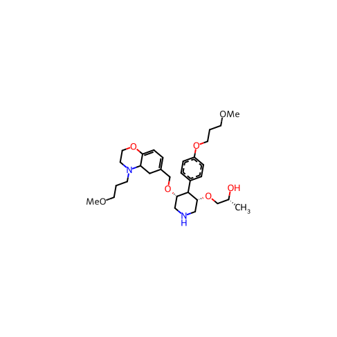 COCCCOc1ccc(C2[C@@H](OCC3=CC=C4OCCN(CCCOC)C4C3)CNC[C@H]2OC[C@@H](C)O)cc1